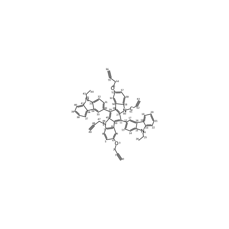 C#CCOc1ccc2c(c1)c1c(-c3ccc4c(c3)c3ccccc3n4CC)c3c(c(-c4ccc5c(c4)c4ccccc4n5CC)c1n2CC#C)c1cc(OCC#C)ccc1n3CC#C